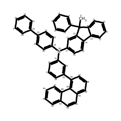 CC1(c2ccccc2)c2ccccc2-c2ccc(N(c3ccc(-c4ccccc4)cc3)c3cccc(-c4cccc5ccc6ccccc6c45)c3)cc21